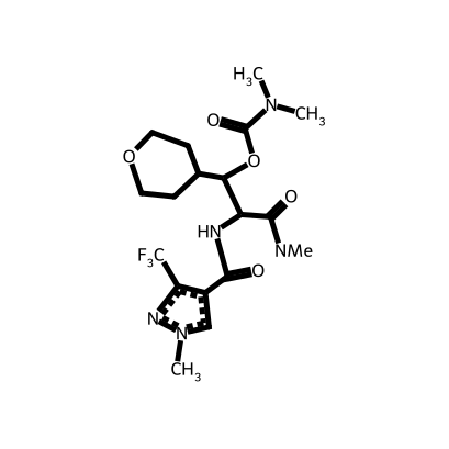 CNC(=O)C(NC(=O)c1cn(C)nc1C(F)(F)F)C(OC(=O)N(C)C)C1CCOCC1